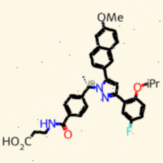 COc1ccc2cc(-c3cc(-c4cc(F)ccc4OC(C)C)nn3[C@@H](C)c3ccc(C(=O)NCCC(=O)O)cc3)ccc2c1